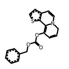 O=C(OCc1ccccc1)OC1=C2c3sccc3C=CN2CC=C1